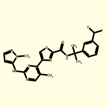 Cc1cnc(Nc2ccnn2C)nc1-c1coc(C(=O)NC(C)(C)c2cccc(C(F)F)c2)n1